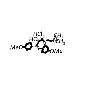 COc1ccc([C@H]2Sc3ccc(OC)cc3N(CCN(C)C)C(=O)[C@H]2O)cc1.Cl